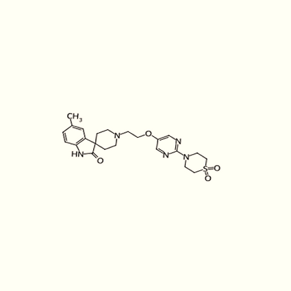 Cc1ccc2c(c1)C1(CCN(CCOc3cnc(N4CCS(=O)(=O)CC4)nc3)CC1)C(=O)N2